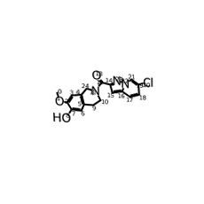 COc1cc2c(cc1O)CCN(C(=O)c1cc3ccc(Cl)cn3n1)C2